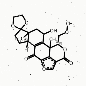 COC[C@H]1OC(=O)c2coc3c2C1(C)C1=C(C3=O)[C@@H]2CCC3(OCCO3)C2(C)CC1O